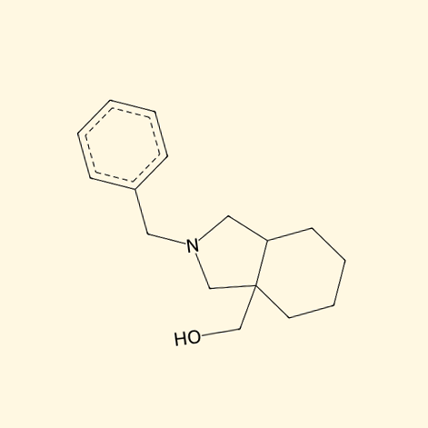 OCC12CCCCC1CN(Cc1ccccc1)C2